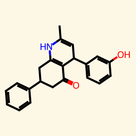 CC1=CC(c2cccc(O)c2)C2=C(CC(c3ccccc3)CC2=O)N1